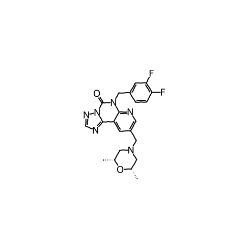 C[C@@H]1CN(Cc2cnc3c(c2)c2ncnn2c(=O)n3Cc2ccc(F)c(F)c2)C[C@H](C)O1